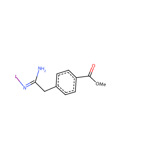 COC(=O)c1ccc(C/C(N)=N/I)cc1